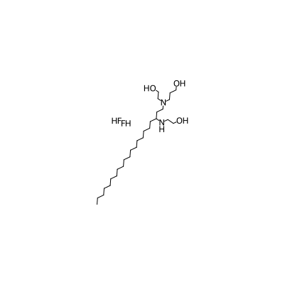 CCCCCCCCCCCCCCCCCCC(CCN(CCO)CCCO)NCCO.F.F